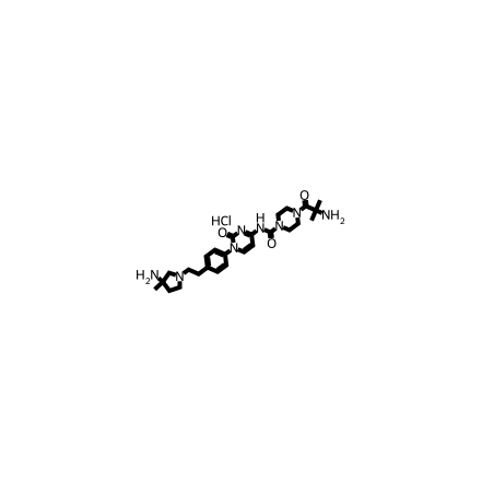 CC1(N)CCN(CCc2ccc(-n3ccc(NC(=O)N4CCN(C(=O)C(C)(C)N)CC4)nc3=O)cc2)C1.Cl